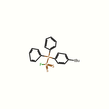 CC(C)(C)c1ccc(S(c2ccccc2)(c2ccccc2)S(F)(=S)=S)cc1